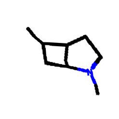 CC1CC2C1CCN2C